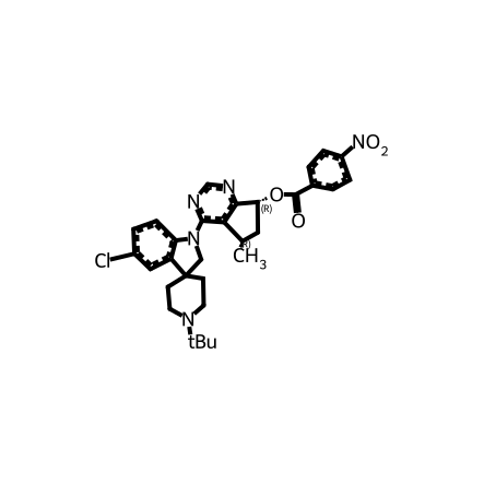 C[C@@H]1C[C@@H](OC(=O)c2ccc([N+](=O)[O-])cc2)c2ncnc(N3CC4(CCN(C(C)(C)C)CC4)c4cc(Cl)ccc43)c21